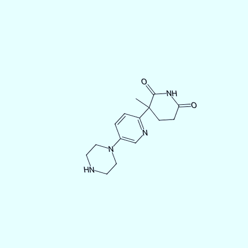 CC1(c2ccc(N3CCNCC3)cn2)CCC(=O)NC1=O